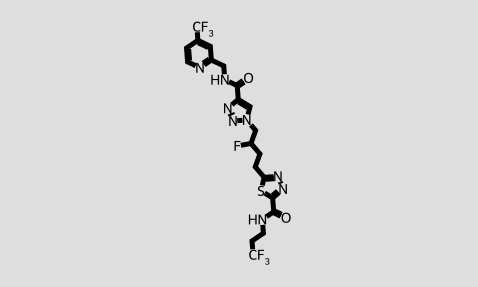 O=C(NCc1cc(C(F)(F)F)ccn1)c1cn(CC(F)CCc2nnc(C(=O)NCCC(F)(F)F)s2)nn1